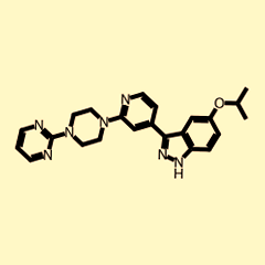 CC(C)Oc1ccc2[nH]nc(-c3ccnc(N4CCN(c5ncccn5)CC4)c3)c2c1